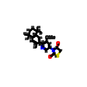 COc1cc(N2C(=O)CSC2=O)cnc1-c1cc2c(cc1C)C(C)(C)CCC2(C)C